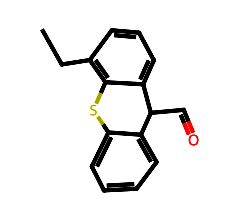 CCc1cccc2c1Sc1ccccc1C2C=O